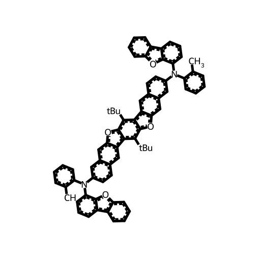 Cc1ccccc1N(c1ccc2cc3c(cc2c1)oc1c(C(C)(C)C)c2c(oc4cc5cc(N(c6ccccc6C)c6cccc7c6oc6ccccc67)ccc5cc42)c(C(C)(C)C)c13)c1cccc2c1oc1ccccc12